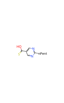 CCCCCc1ncc(C(O)=S)cn1